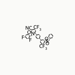 N#Cc1c(C(F)(F)F)cc(-c2ccc(-c3cc(C(F)(F)F)cc(S(=O)(=O)Cc4ccccc4)c3)cc2)n(Cc2ccc(F)cc2F)c1=O